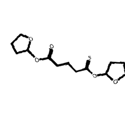 O=C(CCCC(=S)OC1CCCO1)OC1CCCO1